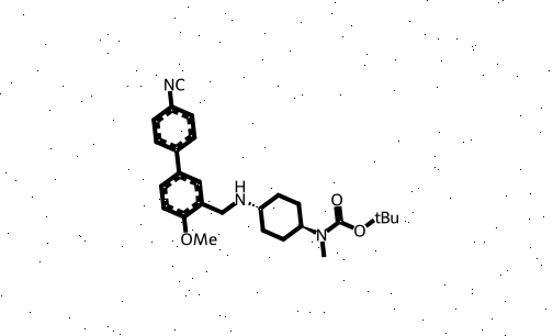 [C-]#[N+]c1ccc(-c2ccc(OC)c(CN[C@H]3CC[C@H](N(C)C(=O)OC(C)(C)C)CC3)c2)cc1